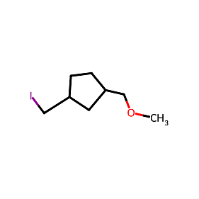 COCC1CCC(CI)C1